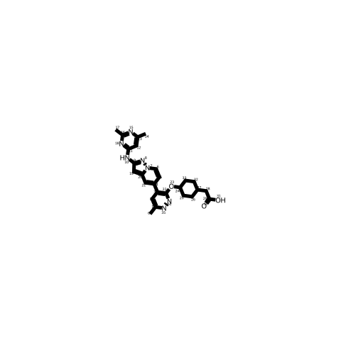 Cc1cc(-c2ccn3nc(Nc4cc(C)nc(C)n4)cc3c2)c(OC2CCC(CC(=O)O)CC2)nn1